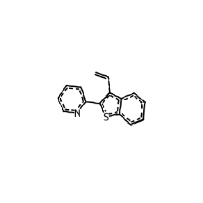 C=Cc1c(-c2ccccn2)sc2ccccc12